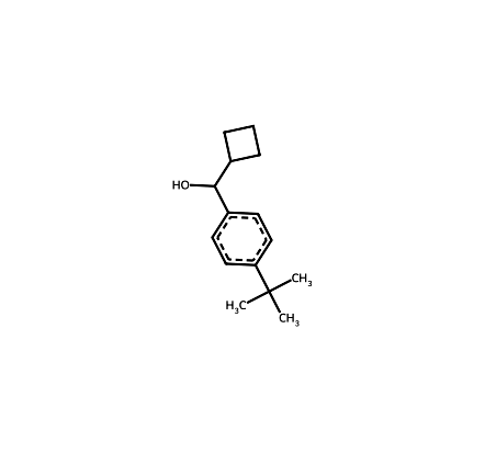 CC(C)(C)c1ccc(C(O)C2CCC2)cc1